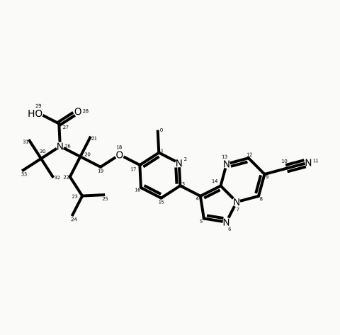 Cc1nc(-c2cnn3cc(C#N)cnc23)ccc1OCC(C)(CC(C)C)N(C(=O)O)C(C)(C)C